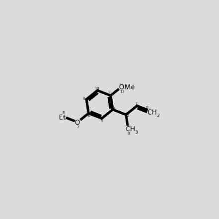 C=C[C](C)c1cc(OCC)ccc1OC